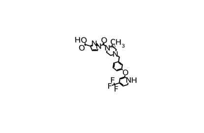 C[C@H]1CN(Cc2cccc(OC3=CC(C(F)(F)F)=CCN3)c2)CCN1C(=O)n1ccc(C(=O)O)n1